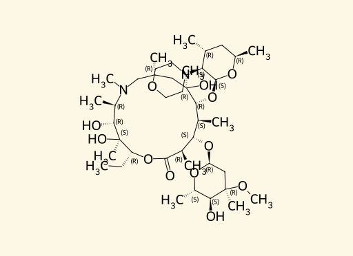 CC[C@H]1OC(=O)[C@H](C)[C@@H](O[C@H]2C[C@@](C)(OC)[C@@H](O)[C@H](C)O2)[C@H](C)[C@@H](O[C@@H]2O[C@H](C)C[C@@H](C)[C@@H]2N2CCOCC2)[C@](C)(O)C[C@@H](C)CN(C)[C@H](C)[C@@H](O)[C@]1(C)O